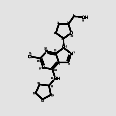 OCC1CC[C@H](n2ncc3c(NC4CCCC4)nc(Cl)nc32)O1